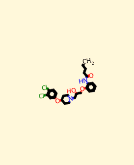 C=CCCC(=O)Nc1ccccc1OCC(O)CN1CCC(Oc2ccc(Cl)c(Cl)c2)CC1